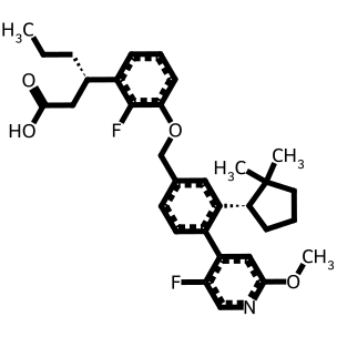 CCC[C@@H](CC(=O)O)c1cccc(OCc2ccc(-c3cc(OC)ncc3F)c([C@H]3CCCC3(C)C)c2)c1F